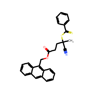 CC(C#N)(CCC(=O)OCc1c2ccccc2cc2ccccc12)SC(=S)c1ccccc1